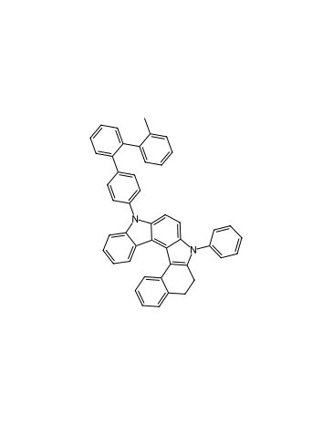 Cc1ccccc1-c1ccccc1-c1ccc(-n2c3ccccc3c3c4c5c(n(-c6ccccc6)c4ccc32)CCc2ccccc2-5)cc1